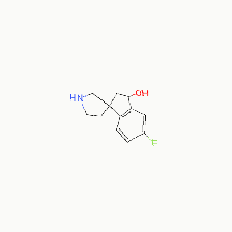 OC1CC2(CCNC2)c2ccc(F)cc21